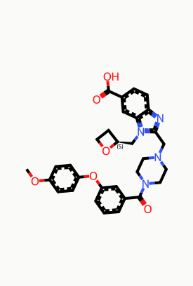 COc1ccc(Oc2cccc(C(=O)N3CCN(Cc4nc5ccc(C(=O)O)cc5n4C[C@@H]4CCO4)CC3)c2)cc1